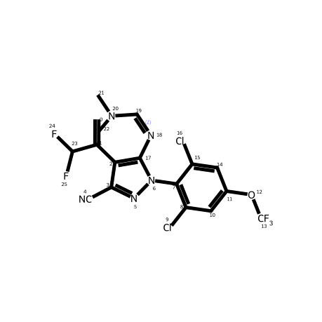 C=C(c1c(C#N)nn(-c2c(Cl)cc(OC(F)(F)F)cc2Cl)c1/N=C\N(C)C)C(F)F